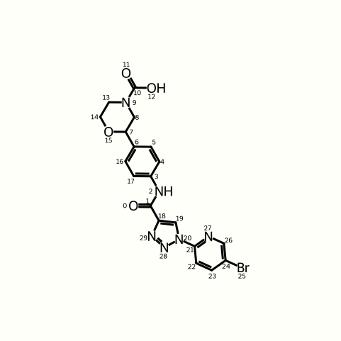 O=C(Nc1ccc(C2CN(C(=O)O)CCO2)cc1)c1cn(-c2ccc(Br)cn2)nn1